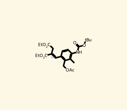 CCOC(=O)C/C(=C\c1ccc(NC(=O)OC(C)(C)C)c(C)c1COC(C)=O)C(=O)OCC